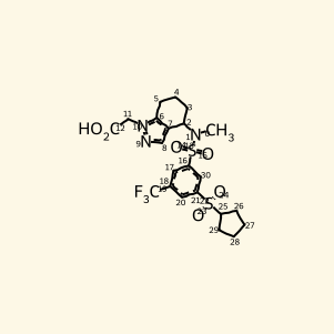 CN(C1CCCc2c1cnn2CC(=O)O)S(=O)(=O)c1cc(C(F)(F)F)cc(S(=O)(=O)C2CCCC2)c1